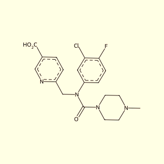 CN1CCN(C(=O)N(Cc2ccc(C(=O)O)cn2)c2ccc(F)c(Cl)c2)CC1